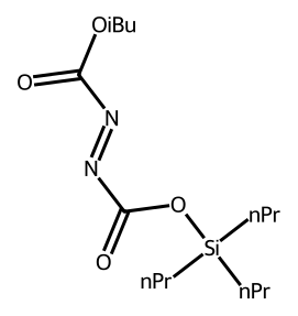 CCC[Si](CCC)(CCC)OC(=O)/N=N/C(=O)OCC(C)C